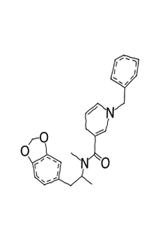 CC(Cc1ccc2c(c1)OCO2)N(C)C(=O)C1=CN(Cc2ccccc2)C=CC1